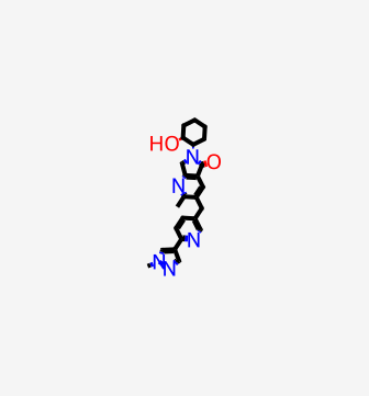 Cc1nc2c(cc1Cc1ccc(-c3cnn(C)c3)nc1)C(=O)N([C@H]1CCCC[C@@H]1O)C2